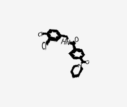 O=C(NCc1ccc(Cl)c(Cl)c1)c1ccc(C(=O)N2CCCCC2)cc1